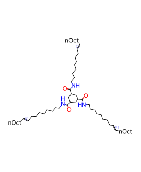 CCCCCCCC/C=C/CCCCCCCCNC(=O)C1CC(C(=O)NCCCCCCCC/C=C/CCCCCCCC)CC(C(=O)NCCCCCCCC/C=C/CCCCCCCC)C1